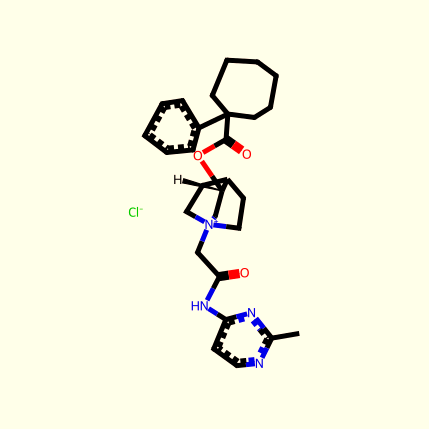 Cc1nccc(NC(=O)C[N+]23CCC(CC2)[C@@H](OC(=O)C2(c4ccccc4)CCCCCC2)C3)n1.[Cl-]